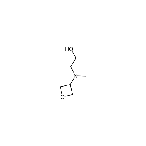 CN(CCO)C1COC1